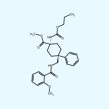 CCCOC(=O)N[C@]1(C(=O)OC)CC[C@](CNC(=O)c2ccccc2OC)(c2ccccc2)CC1